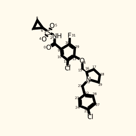 O=C(NS(=O)(=O)C1CC1)c1cc(Cl)c(OC[C@H]2CCCN2Cc2ccc(Cl)cc2)cc1F